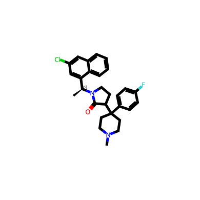 C[C@@H](c1cc(Cl)cc2ccccc12)N1CCC(C2(c3ccc(F)cc3)CCN(C)CC2)C1=O